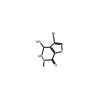 CN1NC(O)c2c(Br)csc2C1=O